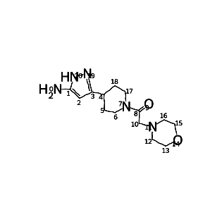 Nc1cc(C2CCN(C(=O)CN3CCOCC3)CC2)n[nH]1